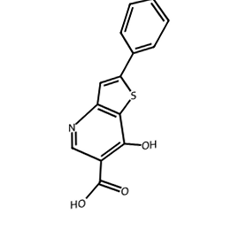 O=C(O)c1cnc2cc(-c3ccccc3)sc2c1O